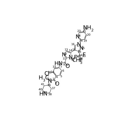 CN(C(=O)c1ccc(NC(=O)c2ncc(-c3cn(-c4ccc(N)cn4)nc3C(F)(F)F)n2C)cc1Cl)C1CCNCC1